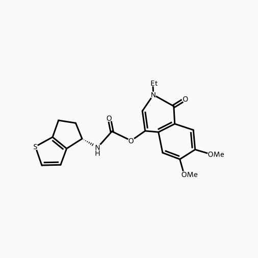 CCn1cc(OC(=O)N[C@H]2CCc3sccc32)c2cc(OC)c(OC)cc2c1=O